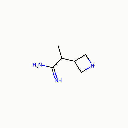 CC(C(=N)N)C1C[N]C1